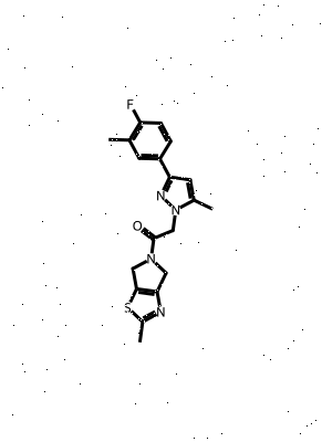 Cc1nc2c(s1)CN(C(=O)Cn1nc(-c3ccc(F)c(C)c3)cc1C)C2